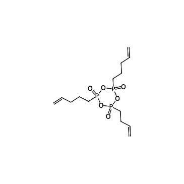 C=CCCCP1(=O)OP(=O)(CCC=C)OP(=O)(CCCC=C)O1